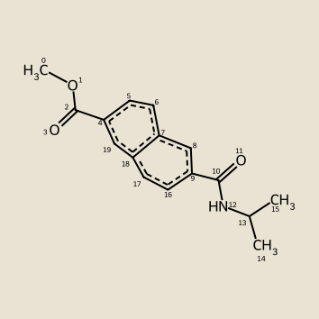 COC(=O)c1ccc2cc(C(=O)NC(C)C)ccc2c1